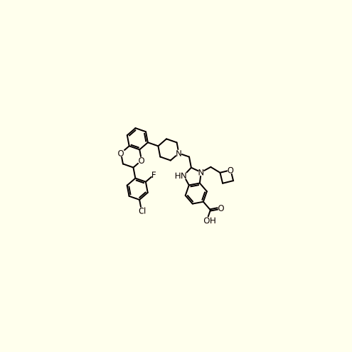 O=C(O)c1ccc2c(c1)N(CC1CCO1)C(CN1CCC(c3cccc4c3OC(c3ccc(Cl)cc3F)CO4)CC1)N2